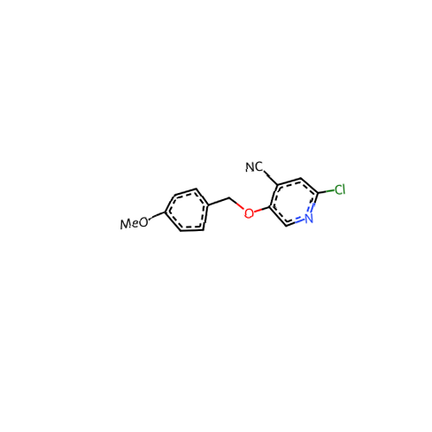 COc1ccc(COc2cnc(Cl)cc2C#N)cc1